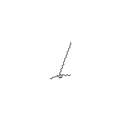 CCCCCCCCCCCCCCCCCCCC1N(CCCCC)C=CN1CCCCC